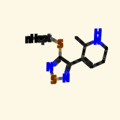 CCCCCCCSc1nsnc1C1=CCCNC1C